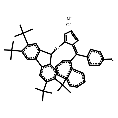 CC(C)(C)c1cc2c(cc1C(C)(C)C)[CH]([Zr+2][C]1=CC=CC1=C(c1ccc(Cl)cc1)c1cccc3ccccc13)c1cc(C(C)(C)C)c(C(C)(C)C)cc1-2.[Cl-].[Cl-]